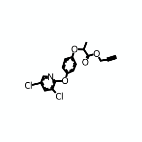 C#CCOC(=O)C(C)Oc1ccc(Oc2ncc(Cl)cc2Cl)cc1